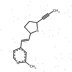 CC#CC1CCC(/C=C/c2ccnc(C)c2)S1